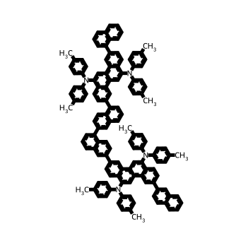 Cc1ccc(N(c2ccc(C)cc2)c2cc3c4cc(-c5ccc6ccccc6c5)ccc4c(N(c4ccc(C)cc4)c4ccc(C)cc4)cc3c3cc(-c4ccc5c(-c6ccc7c(-c8ccc9c(N(c%10ccc(C)cc%10)c%10ccc(C)cc%10)cc%10c%11cc(-c%12cccc%13ccccc%12%13)ccc%11c(N(c%11ccc(C)cc%11)c%11ccc(C)cc%11)cc%10c9c8)cccc7c6)cccc5c4)ccc23)cc1